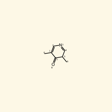 CC1=[C]N=CC(C)C1=O